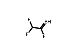 B=C(F)C(F)F